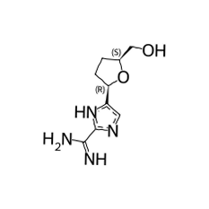 N=C(N)c1ncc([C@H]2CC[C@@H](CO)O2)[nH]1